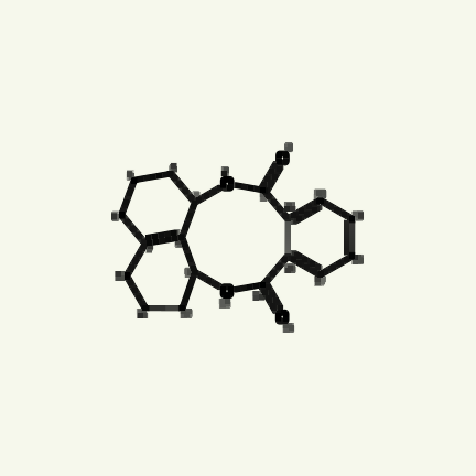 O=C1OC2CCCC3=C2C(CCC3)OC(=O)c2ccccc21